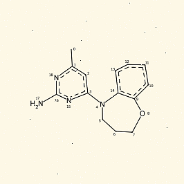 Cc1cc(N2CCCOc3ccccc32)nc(N)n1